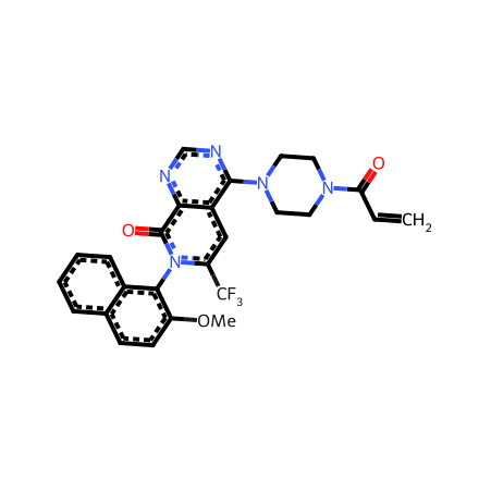 C=CC(=O)N1CCN(c2ncnc3c(=O)n(-c4c(OC)ccc5ccccc45)c(C(F)(F)F)cc23)CC1